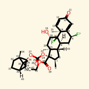 C[C@@H]1C[C@H]2[C@@H]3C[C@H](F)C4=CC(=O)C=C[C@]4(C)C3(F)[C@@H](O)C[C@]2(C)[C@]1(OC(=O)O[C@@H]1C[C@@H]2CC[C@@]1(C)C2(C)C)C(=O)OCC#N